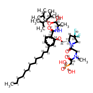 CCCCCCCCCCCCc1ccc(C(=O)NC(C)[C@H](O)O[Si](C(C)C)(C(C)C)C(C)C)c(OC[C@@H]2CC(F)(F)CN2C(=O)CN(C)C(=O)CP(=O)(O)O)c1